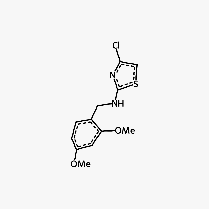 COc1ccc(CNc2nc(Cl)cs2)c(OC)c1